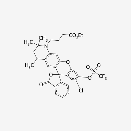 CCOC(=O)CCCN1c2cc3c(cc2C(C)CC1(C)C)C1(OC(=O)c2ccccc21)c1cc(Cl)c(OS(=O)(=O)C(F)(F)F)cc1O3